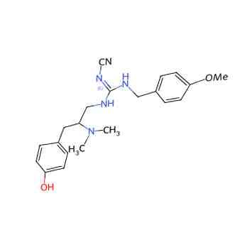 COc1ccc(CN/C(=N\C#N)NCC(Cc2ccc(O)cc2)N(C)C)cc1